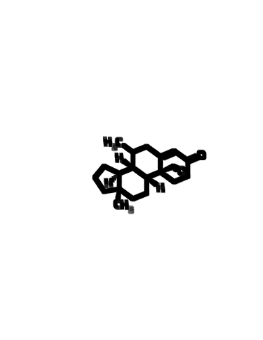 CC1CC2=CC(=O)CC[C@]2(C=O)[C@@H]2CC[C@]3(C)CCC[C@H]3[C@H]12